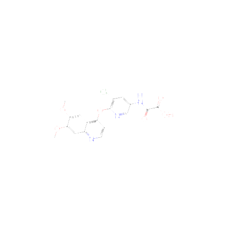 COc1cc2nccc(Oc3ncc(NC(=O)C(=O)O)cc3Cl)c2cc1OC